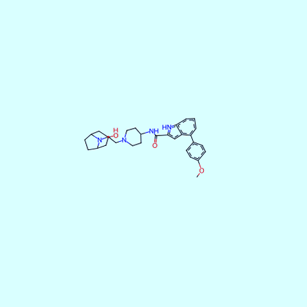 COc1ccc(-c2cccc3[nH]c(C(=O)NC4CCN(CCN5C6CCC5CC(O)C6)CC4)cc23)cc1